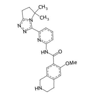 COc1cc2c(cc1C(=O)Nc1cccc(-c3nnc4n3C(C)(C)CC4)n1)CNCC2